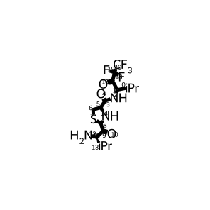 CC(C)C(NC(=O)C1CSC(C(=O)[C@H](N)C(C)C)N1)C(=O)C(F)(F)C(F)(F)F